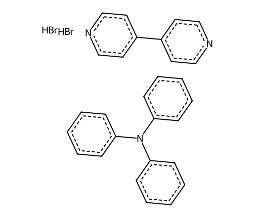 Br.Br.c1cc(-c2ccncc2)ccn1.c1ccc(N(c2ccccc2)c2ccccc2)cc1